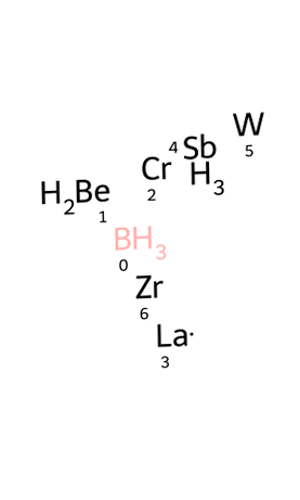 B.[BeH2].[Cr].[La].[SbH3].[W].[Zr]